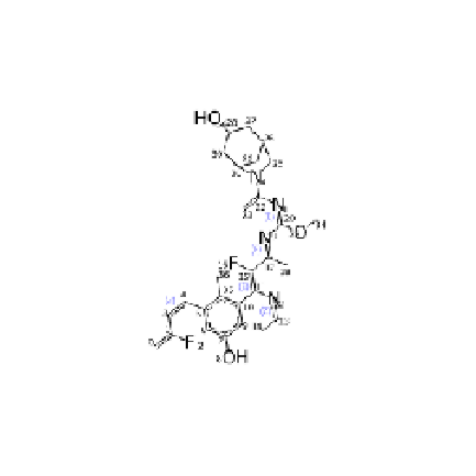 C=C(F)/C=C\c1cc(O)cc(C(/N=C\C)=C(F)/C(C)=N/C(=N\C(=C)N2CC3CC(O)CC2C3)OC)c1C